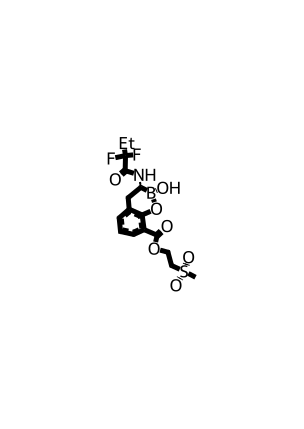 CCC(F)(F)C(=O)N[C@H]1Cc2cccc(C(=O)OCCS(C)(=O)=O)c2OB1O